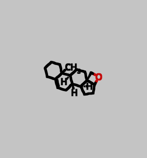 C[C@]12CCCCC1=CC[C@H]1[C@@H]3CCC4OC[C@@]43CC[C@@H]12